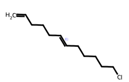 C=CCCC/C=C/CCCCCCl